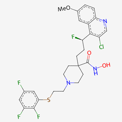 COc1ccc2ncc(Cl)c([C@H](F)CCC3(C(=O)NO)CCN(CCSc4cc(F)cc(F)c4F)CC3)c2c1